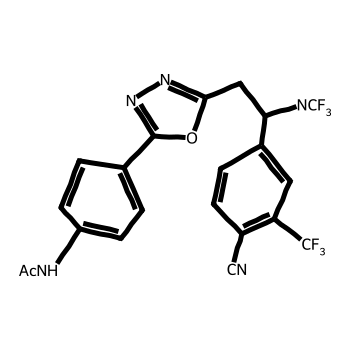 CC(=O)Nc1ccc(-c2nnc(CC(NC(F)(F)F)c3ccc(C#N)c(C(F)(F)F)c3)o2)cc1